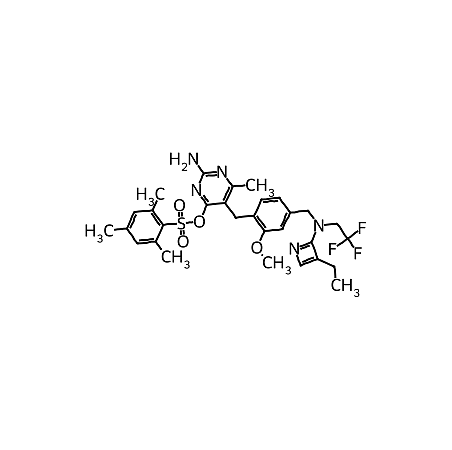 CCC1=CN=C1N(Cc1ccc(Cc2c(C)nc(N)nc2OS(=O)(=O)c2c(C)cc(C)cc2C)c(OC)c1)CC(F)(F)F